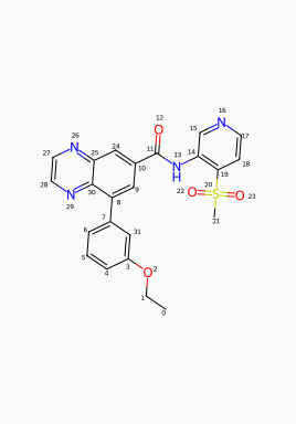 CCOc1cccc(-c2cc(C(=O)Nc3cnccc3S(C)(=O)=O)cc3nccnc23)c1